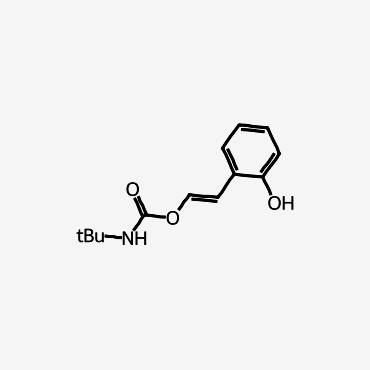 CC(C)(C)NC(=O)OC=Cc1ccccc1O